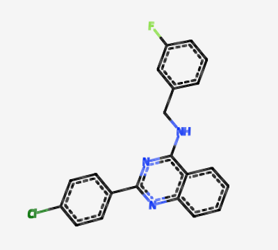 Fc1cccc(CNc2nc(-c3ccc(Cl)cc3)nc3ccccc23)c1